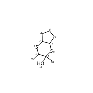 CC1SC2CCCC2SC1(C)O